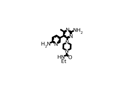 CCNC(=O)N1CCN(c2nc(N)nc(C)c2-c2ccc(N)nc2)CC1